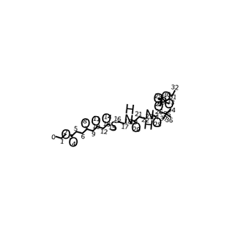 CCOC(=O)CCC(=O)CC(=O)CC(=O)SCCNC(=O)CCNC(=O)[C@@H]1OP(=O)(OCC)OCC1(C)C